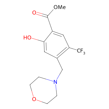 COC(=O)c1cc(C(F)(F)F)c(CN2CCOCC2)cc1O